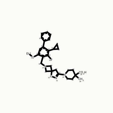 CCOc1cc(-c2ccccc2)c(C2CC2)c(F)c1CN1CC2(CC(N3CCC(C)(C(=O)O)CC3)=NO2)C1